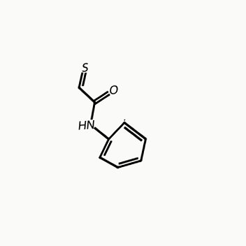 O=C(C=S)Nc1[c]cccc1